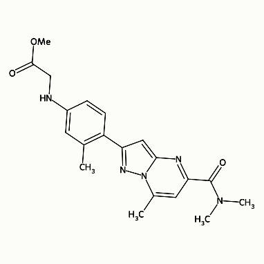 COC(=O)CNc1ccc(-c2cc3nc(C(=O)N(C)C)cc(C)n3n2)c(C)c1